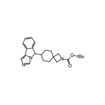 CC(C)(C)OC(=O)N1CC2(CCC(C3c4ccccc4-c4cncn43)CC2)C1